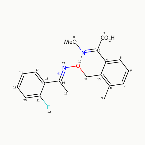 CON=C(C(=O)O)c1cccc(C)c1CO/N=C(\C)c1ccccc1F